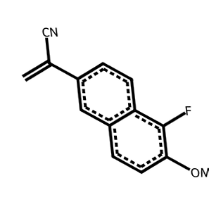 C=C(C#N)c1ccc2c(F)c(OC)ccc2c1